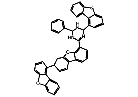 C1=CC(c2cccc3oc4ccccc4c23)Cc2oc3c(C4=NC(c5cccc6sc7ccccc7c56)NC(c5ccccc5)N4)cccc3c21